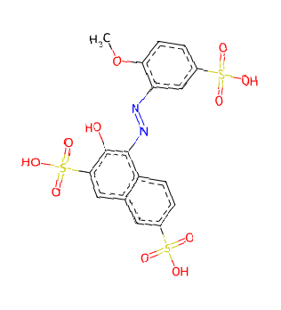 COc1ccc(S(=O)(=O)O)cc1N=Nc1c(O)c(S(=O)(=O)O)cc2cc(S(=O)(=O)O)ccc12